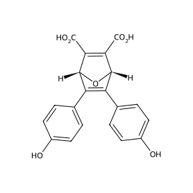 O=C(O)C1=C(C(=O)O)[C@@H]2O[C@H]1C(c1ccc(O)cc1)=C2c1ccc(O)cc1